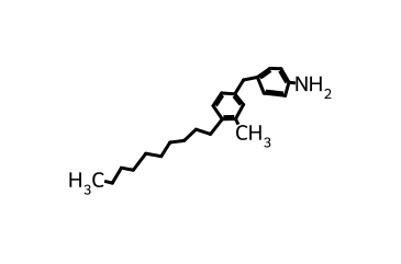 CCCCCCCCCCc1ccc(Cc2ccc(N)cc2)cc1C